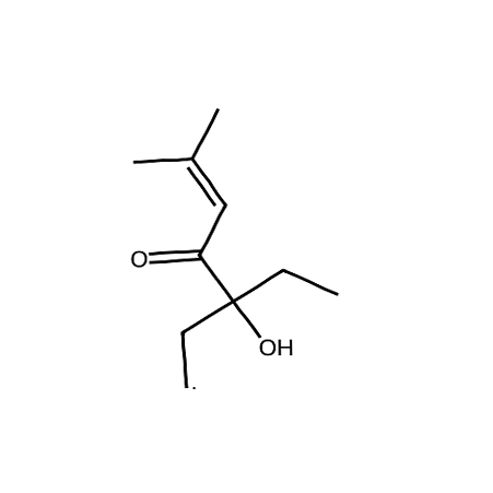 [CH2]CC(O)(CC)C(=O)C=C(C)C